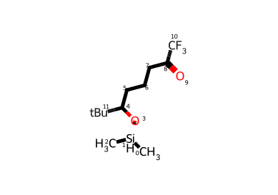 C[SiH](C)OC(CCCC(=O)C(F)(F)F)C(C)(C)C